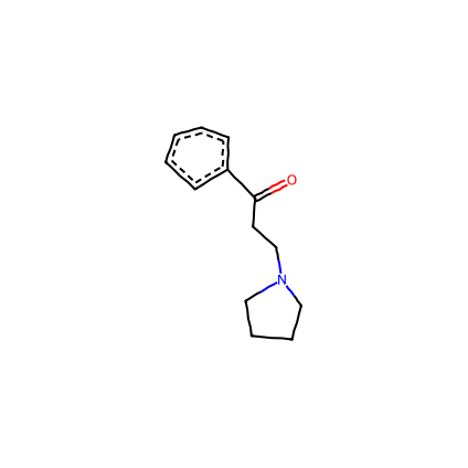 O=C(CCN1CCCC1)c1ccccc1